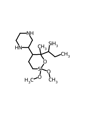 CCC([SiH3])C1(C)O[Si](OC)(OC)CCC1C1CNCCN1